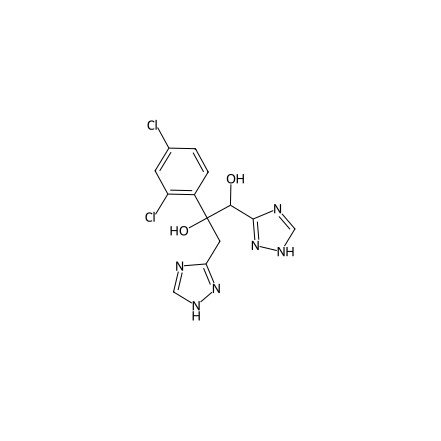 OC(c1nc[nH]n1)C(O)(Cc1nc[nH]n1)c1ccc(Cl)cc1Cl